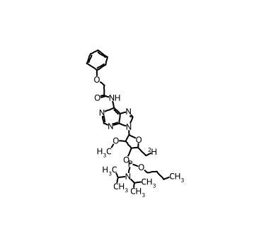 [2H]CC1OC(n2cnc3c(NC(=O)COc4ccccc4)ncnc32)C(OC)C1OP(OCCCC)N(C(C)C)C(C)C